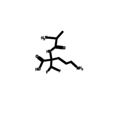 CC(N)C(=O)NC(CCCN)(C(=O)O)C(F)F